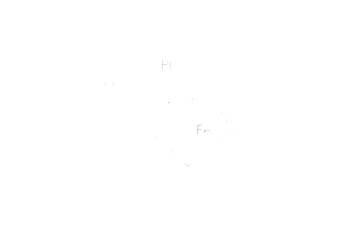 O=C[C]12[CH]3[CH]4[CH]5[CH]1[Fe]45321678[CH]2[CH]1[CH]6[C]7(Br)[CH]28